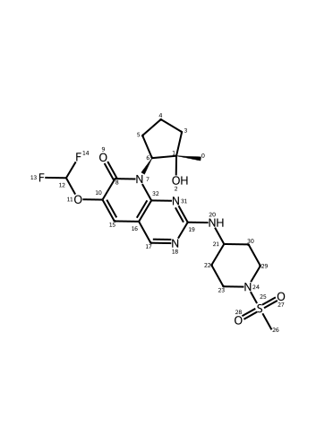 C[C@]1(O)CCC[C@@H]1n1c(=O)c(OC(F)F)cc2cnc(NC3CCN(S(C)(=O)=O)CC3)nc21